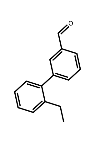 CCc1ccccc1-c1cccc(C=O)c1